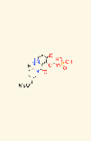 COCC1CC[C@H]2Nn3ccc(=O)c(OCOP(=O)(O)O)c3C(=O)N2C1